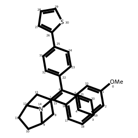 COc1cccc(C(=C2CC3CCC(C2)N3Cc2ccccc2)c2ccc(-c3cccs3)cc2)c1